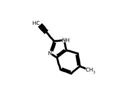 C#Cc1nc2ccc(C)cc2[nH]1